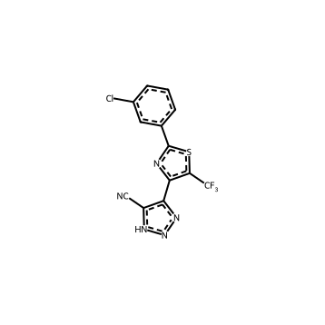 N#Cc1[nH]nnc1-c1nc(-c2cccc(Cl)c2)sc1C(F)(F)F